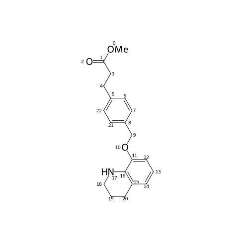 COC(=O)CCc1ccc(COc2cccc3c2NCCC3)cc1